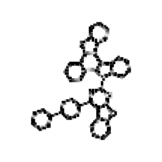 c1ccc(-c2ccc(-c3nc(-n4c5ccccc5c5c6c7ccccc7sc6c6ccccc6c54)nc4oc5ccccc5c34)cc2)cc1